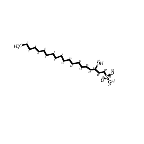 CCCCCCCCCCCCCCCCCC(O)CCS(=O)(=O)O